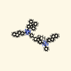 CC1(C)c2cc(-c3ccc(-c4nc(-c5ccc6c(c5)C(c5ccccc5)(c5ccccc5)c5ccccc5-6)nc(-c5ccc6c(ccc7c8ccccc8ccc67)c5)n4)cc3)ccc2-c2ccc(-c3nc(-c4ccccc4)nc(-c4ccc5c(ccc6c7ccccc7ccc56)c4)n3)cc21